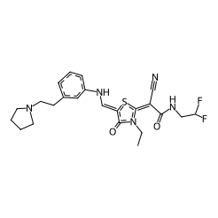 CCn1c(=C(C#N)C(=O)NCC(F)F)sc(=CNc2cccc(CCN3CCCC3)c2)c1=O